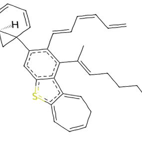 C=C/C=C\C=C\c1c(C23C=CC=C[C@@H]2C3)cc2sc3c(c2c1/C(C)=C/CCCC)=CCC=CC=3